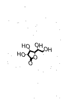 O=C1O[C@@H]([C@H](O)CO)[C@@H](O)[C@H]1O